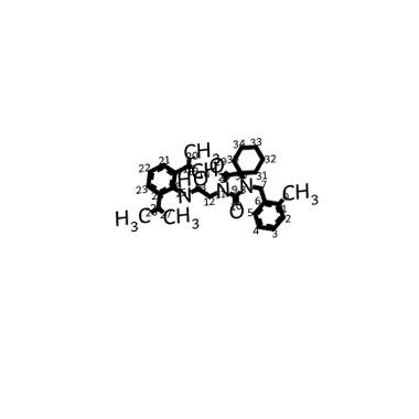 Cc1ccccc1CN1C(=O)N(CC(=O)Nc2c(C(C)C)cccc2C(C)C)C(=O)C12CCCCC2